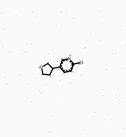 CCc1ccc(C2CCOC2)cn1